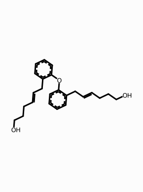 OCCCC=CCc1ccccc1Oc1ccccc1CC=CCCCO